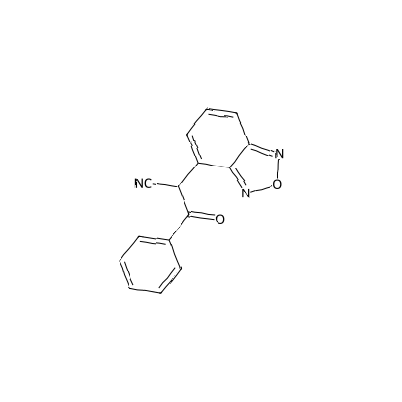 N#CC(C(=O)c1ccccc1)c1cccc2nonc12